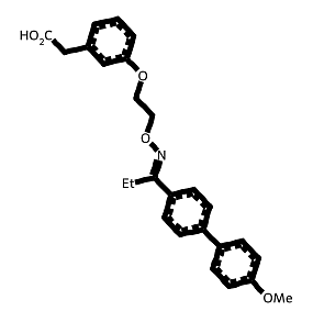 CC/C(=N\OCCOc1cccc(CC(=O)O)c1)c1ccc(-c2ccc(OC)cc2)cc1